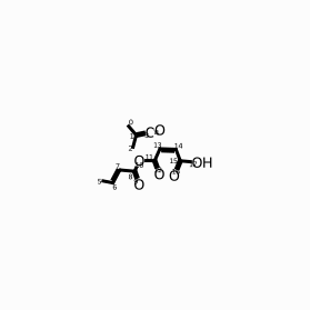 CC(C)=C=O.CC=CC(=O)OC(=O)/C=C\C(=O)O